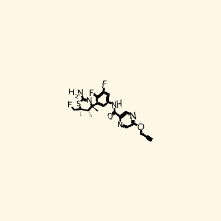 C#CCOc1cnc(C(=O)Nc2cc(F)c(F)c([C@@]3(C)N=C(N)S[C@](C)(CF)[C@H]3C)c2)cn1